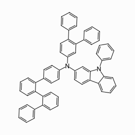 c1ccc(-c2ccc(N(c3ccc(-c4ccccc4-c4ccccc4-c4ccccc4)cc3)c3ccc4c5ccccc5n(-c5ccccc5)c4c3)cc2-c2ccccc2)cc1